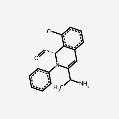 CC(N)C1=Cc2cccc(Cl)c2[C@@H](C=O)N1c1ccccc1